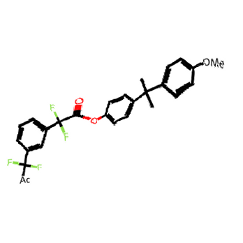 COc1ccc(C(C)(C)c2ccc(OC(=O)C(F)(F)c3cccc(C(F)(F)C(C)=O)c3)cc2)cc1